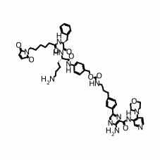 NCCCC[C@H](NC(=O)[C@H](Cc1ccccc1)NC(=O)CCCCCN1C(=O)C=CC1=O)C(=O)Nc1ccc(COC(=O)NCCCc2ccc(-c3cnc(N)c(C(=O)Nc4cnccc4N4CCOCC4)n3)cc2)cc1